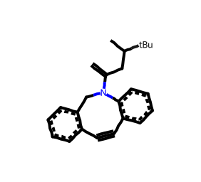 C=C(CC(C)C(C)(C)C)N1Cc2ccccc2C#Cc2ccccc21